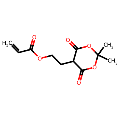 C=CC(=O)OCCC1C(=O)OC(C)(C)OC1=O